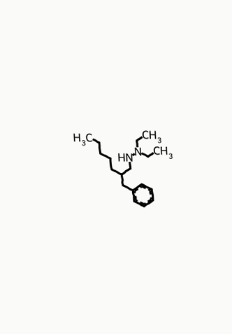 CCCCCC(CNN(CC)CC)Cc1ccccc1